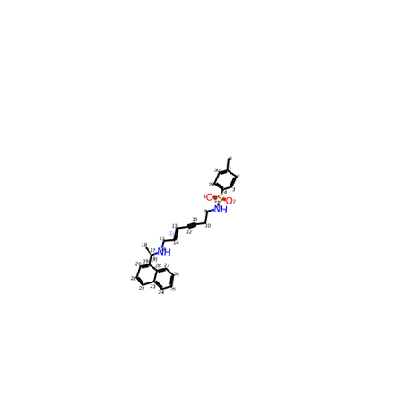 Cc1ccc(S(=O)(=O)NCCC#C/C=C/CN[C@H](C)c2cccc3ccccc23)cc1